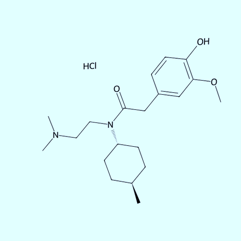 COc1cc(CC(=O)N(CCN(C)C)[C@H]2CC[C@H](C)CC2)ccc1O.Cl